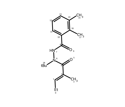 CCC=C(C)C(=O)N(NC(=O)c1cccc(C)c1C)C(C)(C)C